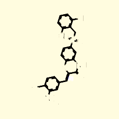 O=C1Nc2cc(S(=O)(=O)Cc3c(Cl)cccc3Cl)ccc2S/C1=C\c1ccc(Cl)c([N+](=O)[O-])c1